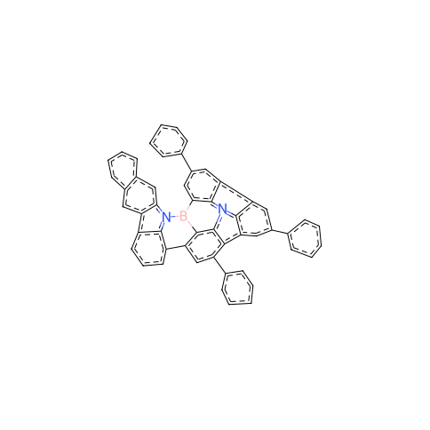 c1ccc(-c2cc3c4c(c2)c2cc(-c5ccccc5)cc5c6c(-c7ccccc7)cc7c(c6n4c25)B3n2c3cc4ccccc4cc3c3cccc-7c32)cc1